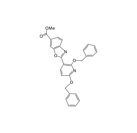 COC(=O)c1ccc2nc(-c3ccc(OCc4ccccc4)nc3OCc3ccccc3)oc2c1